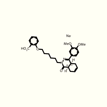 COc1ccc(C2=NN(CCCCCCOc3ccccc3C(=O)O)C(=O)[C@@H]3CC=CC[C@H]23)cc1OC.[Na]